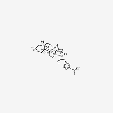 C[C@H]1CC[C@H]2[C@H](CC[C@H]3C4[C@@H]5C[C@@H]5[C@H](C(=O)Cn5cc([S+](C)[O-])cn5)[C@@]4(C)CC[C@H]23)C1